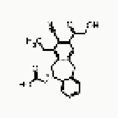 CCc1c(C#N)c(C(=O)CO)cc2c1C[C@@H](CC(=O)O)c1ccccc1C2